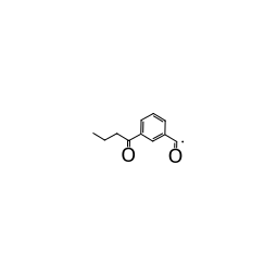 CCCC(=O)c1cccc([C]=O)c1